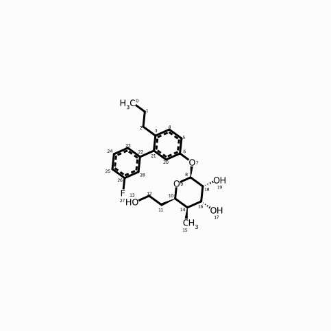 CCCc1ccc(O[C@@H]2O[C@H](CCO)[C@H](C)[C@@H](O)[C@H]2O)cc1-c1cccc(F)c1